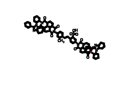 Cc1cc(N2C(=O)c3ccc4c5c(ccc(c35)C2=O)C(=O)N(c2ccccc2-n2c(-c3ccccc3)nc3ccccc32)C4=O)ccc1/C=C/c1ccc(N2C(=O)c3ccc4c5c(ccc(c35)C2=O)C(=O)N(c2ccccc2-n2c(-c3ccccc3)nc3ccccc32)C4=O)cc1S(=O)(=O)O